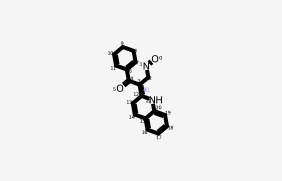 O=NC/C(C(=O)C1=CCCC=C1)=C1/C=Cc2ccccc2N1